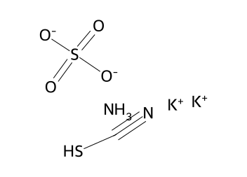 N.N#CS.O=S(=O)([O-])[O-].[K+].[K+]